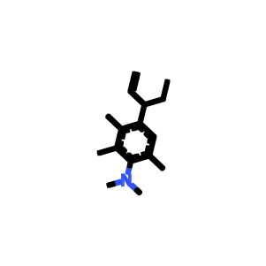 C=CC(CC)c1cc(C)c(N(C)C)c(C)c1C